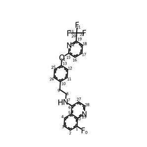 Fc1cccc2c(NCCc3ccc(Oc4cccc(C(F)(F)F)n4)cc3)ccnc12